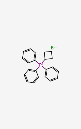 [Br-].c1ccc([P+](c2ccccc2)(c2ccccc2)C2CCC2)cc1